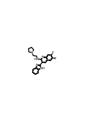 Fc1cc2cc(-c3nc4ccccc4[nH]3)c(NCCN3CCCC3)nc2cc1F